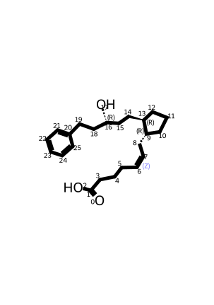 O=C(O)CCC/C=C\C[C@H]1CCC[C@@H]1CC[C@@H](O)CCc1ccccc1